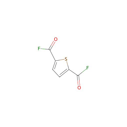 O=C(F)c1ccc(C(=O)F)s1